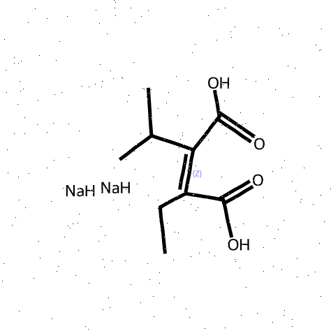 CC/C(C(=O)O)=C(/C(=O)O)C(C)C.[NaH].[NaH]